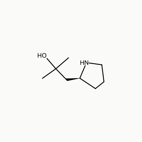 CC(C)(O)C[C@@H]1CCCN1